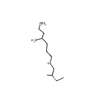 CCC(C)CNCCCC(N)CCN